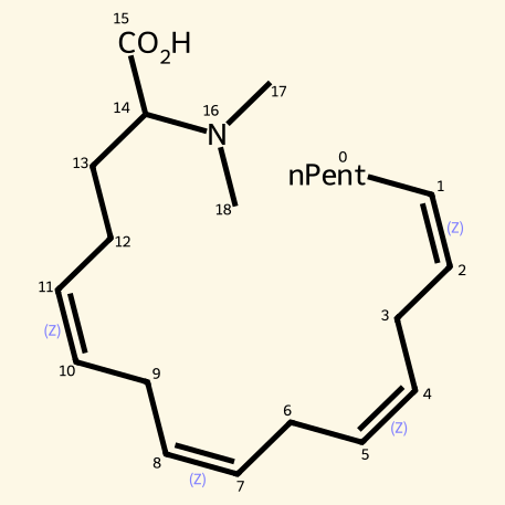 CCCCC/C=C\C/C=C\C/C=C\C/C=C\CCC(C(=O)O)N(C)C